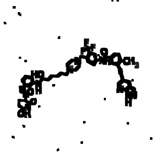 Cc1ccc(C(=O)Nc2ccc(CN3CCN(CCCCCC(O)Nc4cccc5c4ON(C4CCC(=O)NC4=O)O5)CC3)c(C(F)(F)F)c2)cc1C#Cc1cnc2[nH]ncc2c1